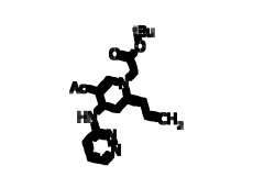 C=C/C=C1\CC(Nc2cccnn2)C(C(C)=O)=CN1CC(=O)OC(C)(C)C